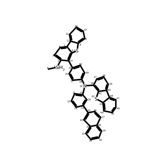 C[SiH2]c1ccc2c(sc3ccccc32)c1-c1ccc(N(c2cccc(-c3ccc4ccccc4c3)c2)c2cccc3c2sc2ccccc23)cc1